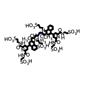 CC1(C)C(/C=C/C=C2/N(CCCS(=O)(=O)O)c3c(cc(-c4cc(C(=O)NCCS(=O)(=O)O)nc(C(=O)NCCS(=O)(=O)O)c4)c4ccccc34)C2(C)C)=[N+](CCCS(=O)(=O)O)c2c1cc(-c1cc(C(=O)NCCS(=O)(=O)O)nc(C(=O)NCCS(=O)(=O)O)c1)c1ccccc21